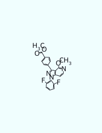 COC(=O)c1ccc(-c2nn(-c3c(F)cccc3F)c3ccnc(OC)c23)cc1